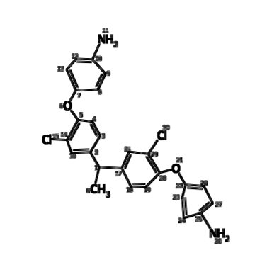 CC(c1ccc(Oc2ccc(N)cc2)c(Cl)c1)c1ccc(Oc2ccc(N)cc2)c(Cl)c1